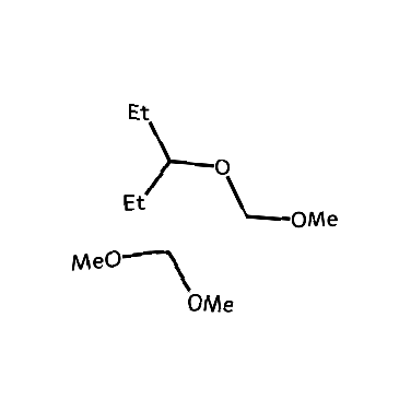 CCC(CC)OCOC.COCOC